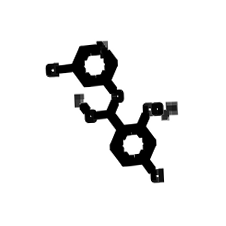 O=C(O)c1cc(Cl)ccc1C(OF)Oc1cncc(Cl)c1